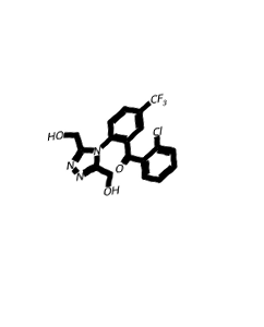 O=C(c1ccccc1Cl)c1cc(C(F)(F)F)ccc1-n1c(CO)nnc1CO